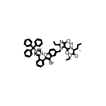 CCOC(=O)[C@@H](NC(=O)c1c(Cl)nc(CC)n1Cc1ccc2oc(-c3ccccc3-c3nnn(C(c4ccccc4)(c4ccccc4)c4ccccc4)n3)c(Br)c2c1)[C@@H](C)CC